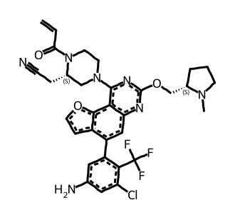 C=CC(=O)N1CCN(c2nc(OC[C@@H]3CCCN3C)nc3cc(-c4cc(N)cc(Cl)c4C(F)(F)F)c4ccoc4c23)C[C@@H]1CC#N